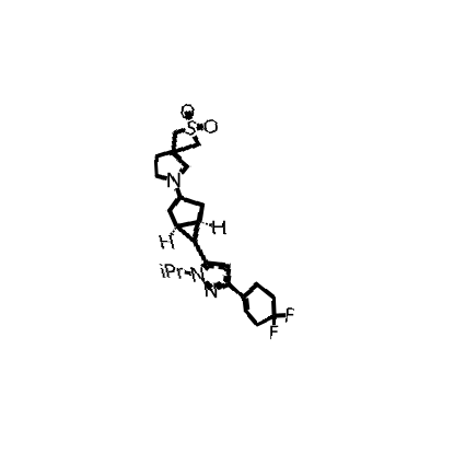 CC(C)n1nc(C2=CCC(F)(F)CC2)cc1C1[C@H]2CC(N3CCC4(C3)CS(=O)(=O)C4)C[C@@H]12